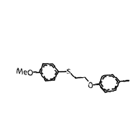 COc1ccc(SCCOc2ccc(C)cc2)cc1